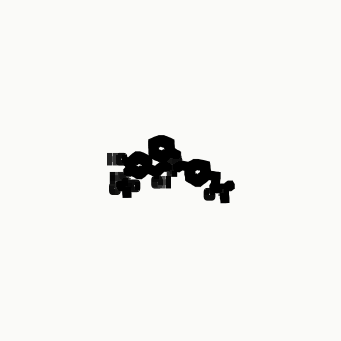 CN(C)C(=O)Cc1ccc([C@@H](Cc2ccccc2)NC[C@H](O)c2ccc(O)c(NS(C)(=O)=O)c2)cc1